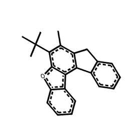 Cc1c2c(c3c(oc4ccccc43)c1C(C)(C)C)-c1ccccc1C2